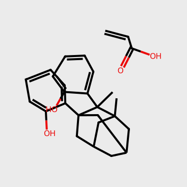 C=CC(=O)O.CC12CC3CC(C1)CC(c1ccccc1O)(C3)C2(C)c1ccccc1O